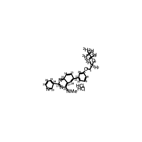 Cl.Cl.[2H]C([2H])(COc1cccc(-c2ccc3nc(-c4cccnc4)nc(NC)c3c2)c1)OC([2H])([2H])C([2H])([2H])[2H]